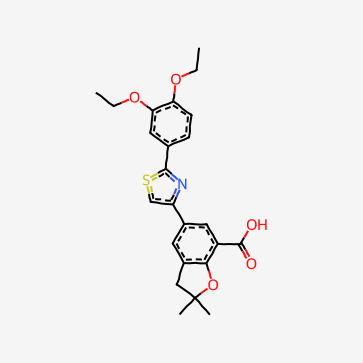 CCOc1ccc(-c2nc(-c3cc4c(c(C(=O)O)c3)OC(C)(C)C4)cs2)cc1OCC